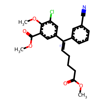 COC(=O)CCC/C=C(\c1cccc(C#N)c1)c1cc(Cl)c(OC)c(C(=O)OC)c1